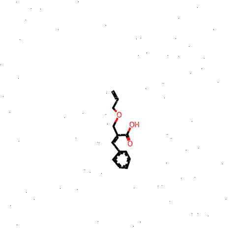 C=CCOCC(=Cc1ccccc1)C(=O)O